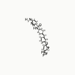 Nc1ccc(C(=O)NC2CCC(=Cc3cccc(Oc4ccc(C(F)(F)F)cn4)c3)CC2)nn1